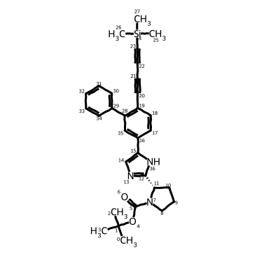 CC(C)(C)OC(=O)N1CCC[C@H]1c1ncc(-c2ccc(C#CC#C[Si](C)(C)C)c(-c3ccccc3)c2)[nH]1